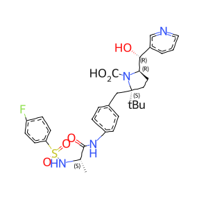 C[C@H](NS(=O)(=O)c1ccc(F)cc1)C(=O)Nc1ccc(C[C@]2(C(C)(C)C)CC[C@H]([C@H](O)c3cccnc3)N2C(=O)O)cc1